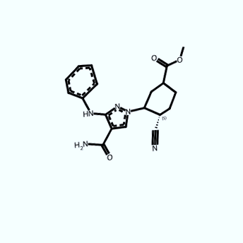 COC(=O)C1CC[C@H](C#N)C(n2cc(C(N)=O)c(Nc3ccccc3)n2)C1